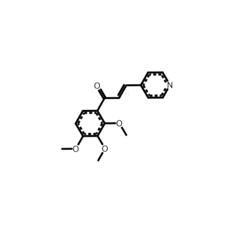 COc1ccc(C(=O)/C=C/c2ccncc2)c(OC)c1OC